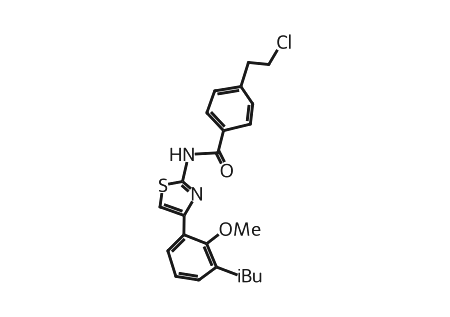 CCC(C)c1cccc(-c2csc(NC(=O)c3ccc(CCCl)cc3)n2)c1OC